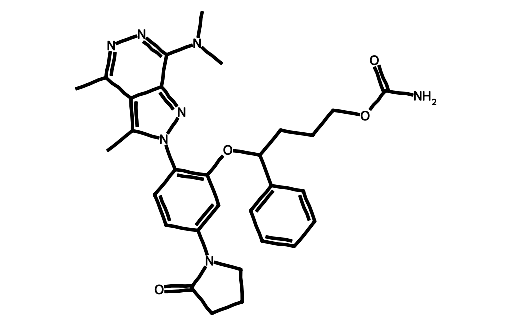 Cc1nnc(N(C)C)c2nn(-c3ccc(N4CCCC4=O)cc3OC(CCCOC(N)=O)c3ccccc3)c(C)c12